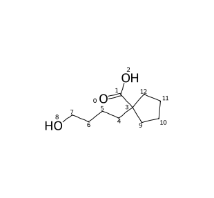 O=C(O)C1(CCCCO)CCCC1